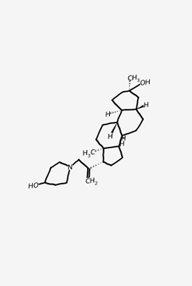 C=C(CN1CCC(O)CC1)[C@H]1CC[C@H]2[C@@H]3CC[C@H]4C[C@](C)(O)CC[C@@H]4[C@H]3CC[C@]12C